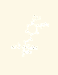 CO[Si](CCC1CCC(OC(C)=O)C(OC(C)=O)C1)(OC)OC